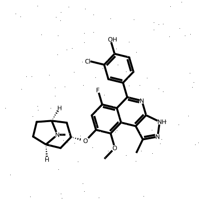 COc1c(O[C@@H]2C[C@H]3CC[C@@H](C2)N3C)cc(F)c2c(-c3ccc(O)c(Cl)c3)nc3[nH]nc(C)c3c12